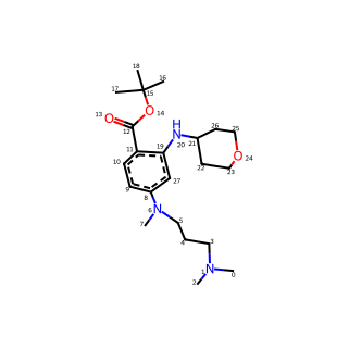 CN(C)CCCN(C)c1ccc(C(=O)OC(C)(C)C)c(NC2CCOCC2)c1